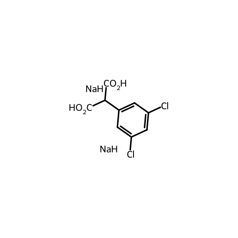 O=C(O)C(C(=O)O)c1cc(Cl)cc(Cl)c1.[NaH].[NaH]